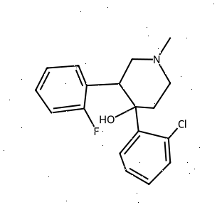 CN1CCC(O)(c2ccccc2Cl)C(c2ccccc2F)C1